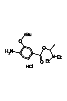 CCCCOc1cc(C(=O)OC(C)N(CC)CC)ccc1N.Cl